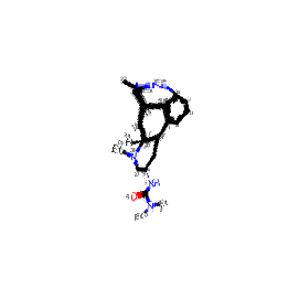 CCN(CC)C(=O)N[C@H]1CC2c3cccc4c3C(C[C@H]2N(CC)C1)C(C)N4